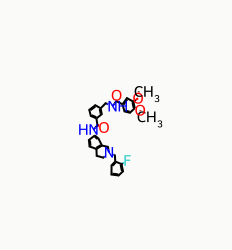 COc1ccc(C(=O)NCc2cccc(C(=O)Nc3ccc4c(c3)CN(Cc3ccccc3F)CC4)c2)cc1OC